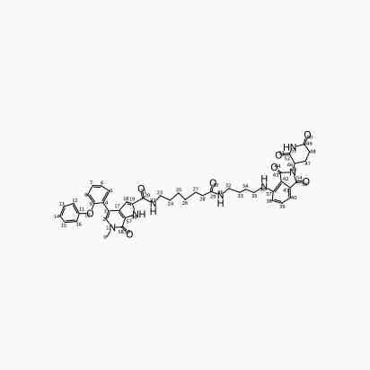 Cn1cc(-c2ccccc2Oc2ccccc2)c2cc(C(=O)NCCCCCCC(=O)NCCCCNc3cccc4c3C(=O)N(C3CCC(=O)NC3=O)C4=O)[nH]c2c1=O